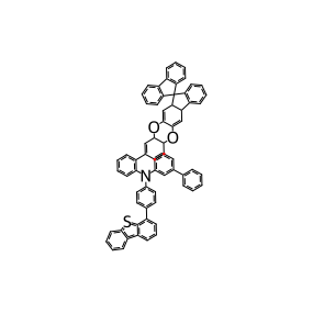 C1=CC2OC3=CC4c5ccccc5C5(c6ccccc6-c6ccccc65)C4C=C3OC2C=C1c1ccccc1N(c1ccc(-c2cccc3c2sc2ccccc23)cc1)c1cccc(-c2ccccc2)c1